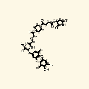 COC(=O)[C@H](Cc1cc(I)c(Oc2cc(I)c(O)c(I)c2)c(I)c1)NC(=O)COCC(=O)N1CCN(C(=O)CCC(=O)OC2CC(=O)NC2=O)CC1